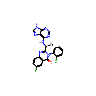 CC[C@H](Nc1ncnc2[nH]cnc12)c1nc2ccc(F)cc2c(=O)n1-c1ccccc1Cl